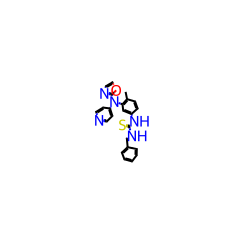 Cc1ccc(NC(=S)NCc2ccccc2)cc1N(c1ccncc1)c1ncco1